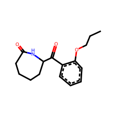 CCCOc1ccccc1C(=O)C1CCCCC(=O)N1